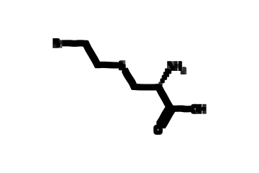 N[C@@H](CSCCBr)C(=O)O